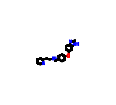 c1ccc(CCNCc2ccc(Oc3ccc4nc[nH]c4c3)cc2)nc1